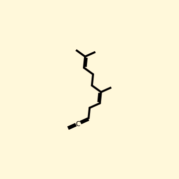 C=C=CCC=C(C)CCC=C(C)C